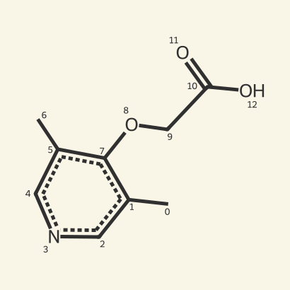 Cc1cncc(C)c1OCC(=O)O